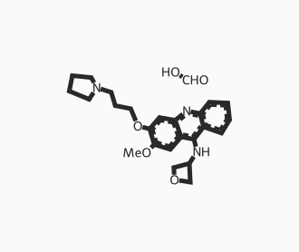 COc1cc2c(NC3COC3)c3ccccc3nc2cc1OCCCN1CCCC1.O=CO